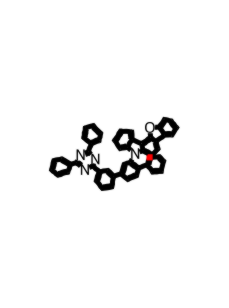 c1ccc(-c2nc(-c3ccccc3)nc(-c3cccc(-c4ccc(-c5ccccc5)c(-n5c6ccccc6c6c7oc8ccccc8c7ccc65)c4)c3)n2)cc1